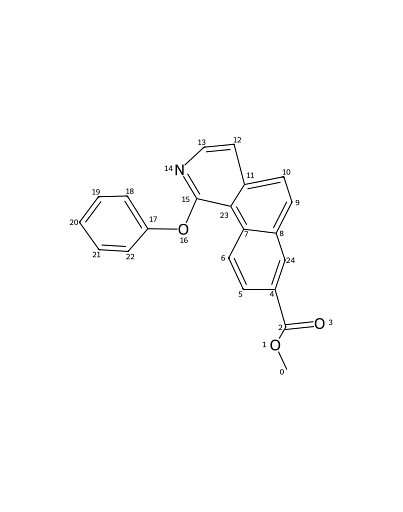 COC(=O)c1ccc2c(ccc3ccnc(Oc4ccccc4)c32)c1